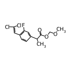 COCOC(=O)C(C)c1ccc(C=C(Cl)Cl)c(F)c1